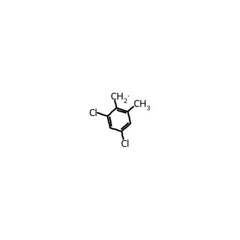 [CH2]c1c(C)cc(Cl)cc1Cl